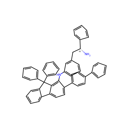 N[C@H](Cc1cccc(Nc2c(-c3ccc(-c4ccccc4)cc3)ccc3c2C(c2ccccc2)(c2ccccc2)c2ccccc2-3)c1)c1ccccc1